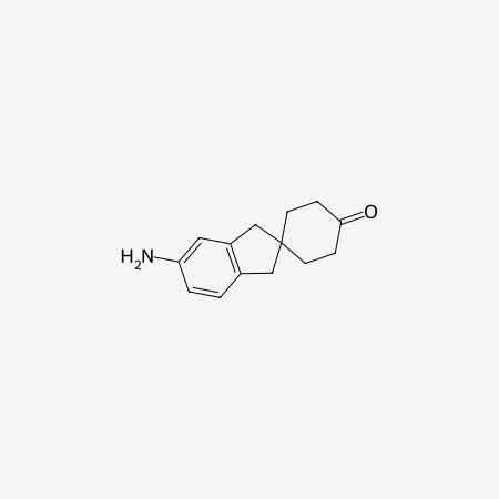 Nc1ccc2c(c1)CC1(CCC(=O)CC1)C2